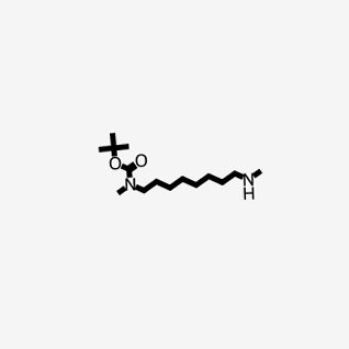 CNCCCCCCCCN(C)C(=O)OC(C)(C)C